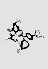 COc1cc(NC(=O)N(c2ccc(N(C)C)cc2)C2CCCCCC2)c(OC(=O)[C@H](C)N)c(C(C)(C)C)c1.Cl.Cl